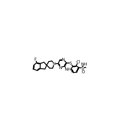 CS(=N)(=O)c1cccc(Sc2ncc(N3CCC4(CC3)Cc3cccc(F)c3C4)nc2N)c1Cl